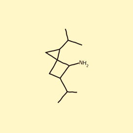 CC(C)C1CC2(CC2C(C)C)C1N